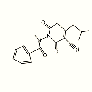 CC(C)CC1=C(C#N)C(=O)N(N(C)C(=O)c2ccccc2)C(=O)C1